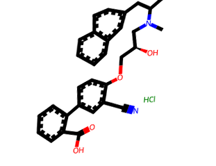 CC(Cc1ccc2ccccc2c1)N(C)C[C@@H](O)COc1ccc(-c2ccccc2C(=O)O)cc1C#N.Cl